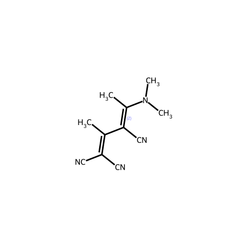 CC(=C(C#N)C#N)/C(C#N)=C(\C)N(C)C